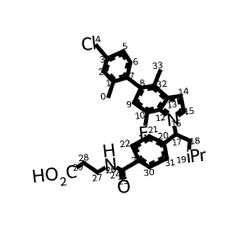 Cc1cc(Cl)ccc1-c1cc(F)c2c(ccn2C(CC(C)C)c2ccc(C(=O)NCCC(=O)O)cc2)c1C